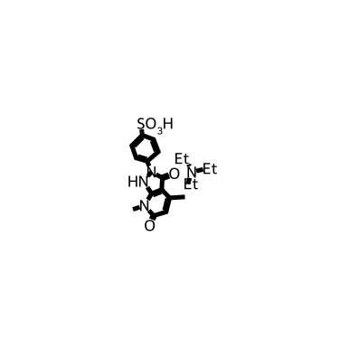 CCN(CC)CC.Cc1cc(=O)n(C)c2[nH]n(-c3ccc(S(=O)(=O)O)cc3)c(=O)c12